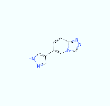 c1cc2nncn2cc1-c1cn[nH]c1